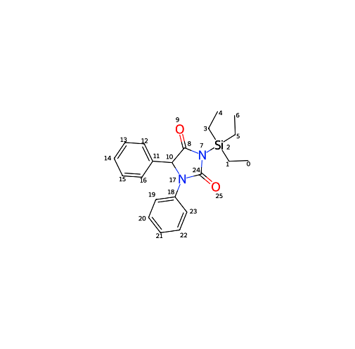 CC[Si](CC)(CC)N1C(=O)C(c2ccccc2)N(c2ccccc2)C1=O